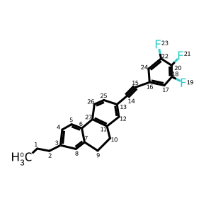 CCCc1ccc2c(c1)CCc1cc(C#Cc3cc(F)c(F)c(F)c3)ccc1-2